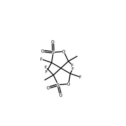 CC1(F)OS(=O)(=O)C(F)(F)C12C(F)(F)OS(=O)(=O)C2(C)F